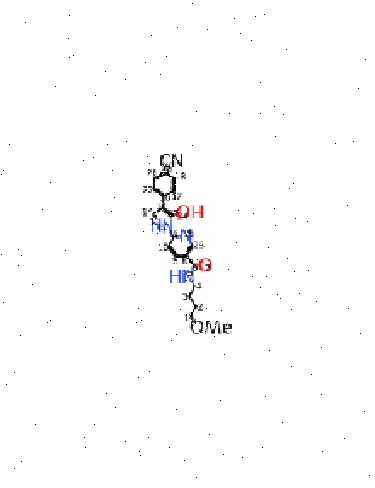 COCCCCNC(=O)c1ccc(-n2ncc(-c3ccc(C#N)cc3)c2O)nc1